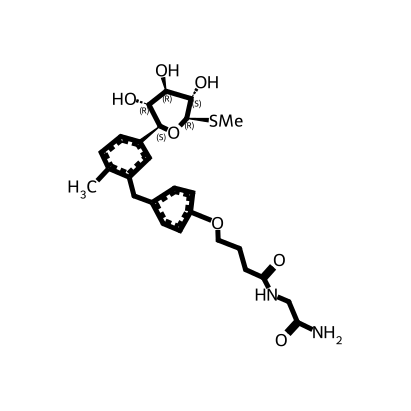 CS[C@H]1O[C@@H](c2ccc(C)c(Cc3ccc(OCCCC(=O)NCC(N)=O)cc3)c2)[C@H](O)[C@@H](O)[C@@H]1O